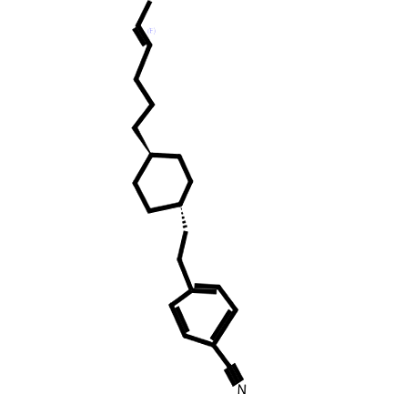 N#Cc1ccc(CC[C@H]2CC[C@H](CCC/C=C/F)CC2)cc1